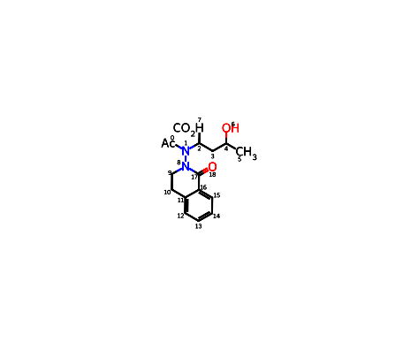 CC(=O)N(C(CC(C)O)C(=O)O)N1CCc2ccccc2C1=O